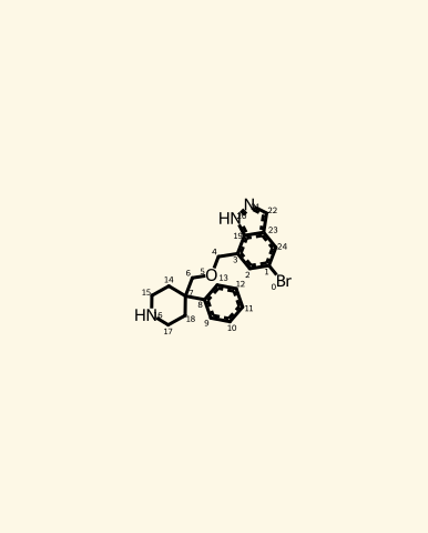 Brc1cc(COCC2(c3ccccc3)CCNCC2)c2[nH]ncc2c1